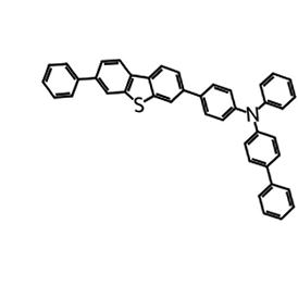 c1ccc(-c2ccc(N(c3ccccc3)c3ccc(-c4ccc5c(c4)sc4cc(-c6ccccc6)ccc45)cc3)cc2)cc1